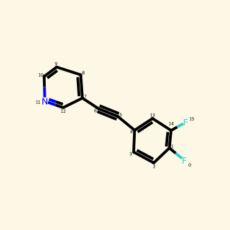 Fc1ccc(C#Cc2cccnc2)cc1F